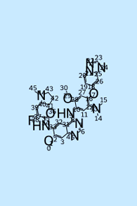 COc1cc2ncnc(Nc3cc(N(C)C)c(Oc4ccn5ncnc5c4)cc3OC)c2cc1NC(=O)/C(F)=C\C1CCCN1C